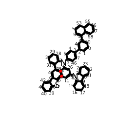 c1cc(-c2ccc(N(c3cccc(-n4c5ccccc5c5ccccc54)c3)c3ccccc3-c3ccc4sc5ccccc5c4c3)cc2)cc(-c2cccc3ccccc23)c1